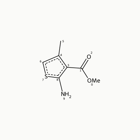 COC(=O)c1c(C)csc1N